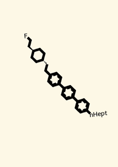 CCCCCCCc1ccc(-c2ccc(-c3ccc(CC[C@H]4CC[C@H](CCF)CC4)cc3)cc2)cc1